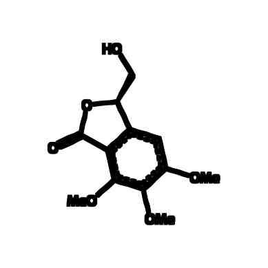 COc1cc2c(c(OC)c1OC)C(=O)O[C@H]2CO